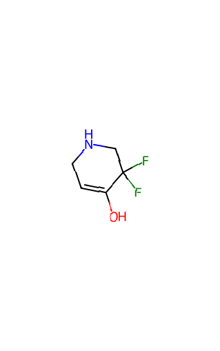 OC1=CCNCC1(F)F